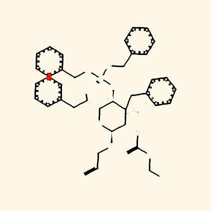 C=CCO[C@H]1O[C@H](C(O)Cc2ccccc2)[C@@H](OP(=O)(OCc2ccccc2)OCc2ccccc2)[C@@](O)(Cc2ccccc2)[C@@H]1NC(=O)OCC(Cl)(Cl)Cl